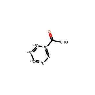 O=CC(=O)[13c]1[13cH][13cH][13cH][13cH][13cH]1